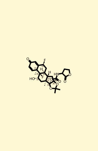 CC1(C)O[C@@H]2C[C@H]3[C@@H]4C[C@H](F)C5=CC(=O)C=C[C@]5(C)[C@@]4(F)[C@@H](O)C[C@]3(C)[C@]2(OC(=O)NC2CCOC2=O)O1